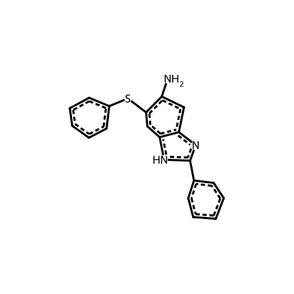 Nc1cc2nc(-c3ccccc3)[nH]c2cc1Sc1ccccc1